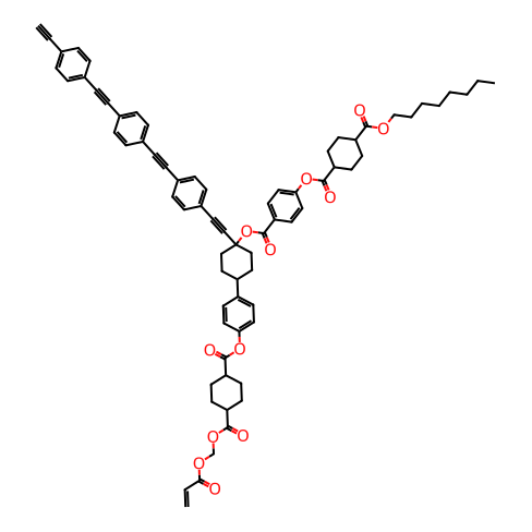 C#Cc1ccc(C#Cc2ccc(C#Cc3ccc(C#CC4(OC(=O)c5ccc(OC(=O)C6CCC(C(=O)OCCCCCCCC)CC6)cc5)CCC(c5ccc(OC(=O)C6CCC(C(=O)OCOC(=O)C=C)CC6)cc5)CC4)cc3)cc2)cc1